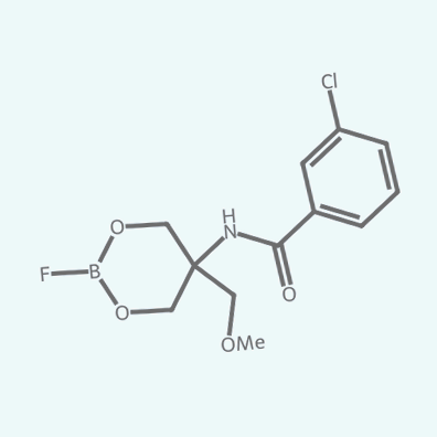 COCC1(NC(=O)c2cccc(Cl)c2)COB(F)OC1